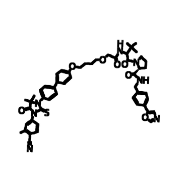 Cc1cc(N2C(=O)C(C)(C)N(c3ccc(-c4ccc(OCCCCOCC(=O)NC(C(=O)N5CCC[C@H]5C(=O)NCc5ccc(-c6cnco6)cc5)C(C)(C)C)cc4)cc3)C2=S)ccc1C#N